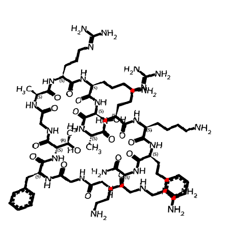 C[C@H](NC(=O)CNC(=O)[C@@H](NC(=O)[C@H](Cc1ccccc1)NC(=O)CNC(=O)CNC(=O)CNCc1ccccc1)[C@@H](C)O)C(=O)N[C@@H](CCCN=C(N)N)C(=O)N[C@@H](CCCCN)C(=O)N[C@@H](CO)C(=O)N[C@@H](C)C(=O)N[C@@H](CCCN=C(N)N)C(=O)N[C@@H](CCCCN)C(=O)N[C@@H](CCCN=C(N)N)C(=O)N[C@@H](CCCCN)C(N)=O